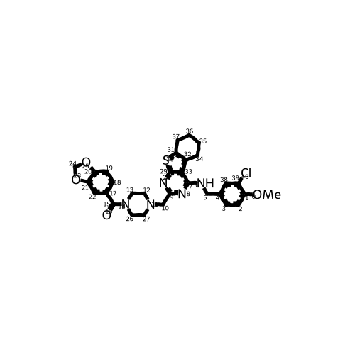 COc1ccc(CNc2nc(CN3CCN(C(=O)c4ccc5c(c4)OCO5)CC3)nc3sc4c(c23)CCCC4)cc1Cl